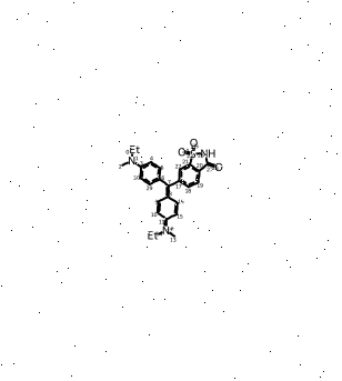 CCN(C)c1ccc(C(=C2C=CC(=[N+](C)CC)C=C2)c2ccc3c(c2)S(=O)(=O)NC3=O)cc1